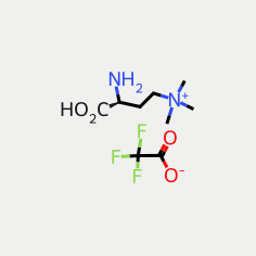 C[N+](C)(C)CC[C@H](N)C(=O)O.O=C([O-])C(F)(F)F